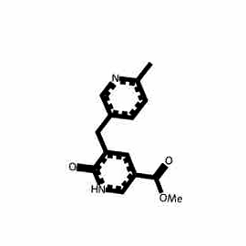 COC(=O)c1c[nH]c(=O)c(Cc2ccc(C)nc2)c1